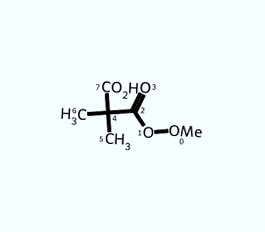 COOC(=O)C(C)(C)C(=O)O